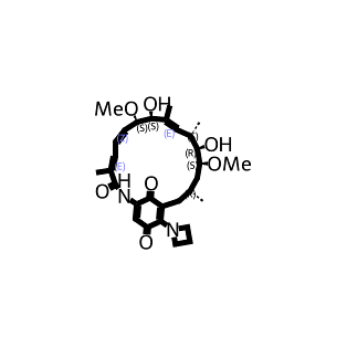 CO[C@H]1/C=C\C=C(/C)C(=O)NC2=CC(=O)C(N3CCC3)=C(C[C@@H](C)C[C@H](OC)[C@H](O)[C@@H](C)/C=C(\C)[C@@H]1O)C2=O